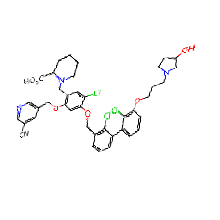 N#Cc1cncc(COc2cc(OCc3cccc(-c4cccc(OCCCN5CCC(O)C5)c4Cl)c3Cl)c(Cl)cc2CN2CCCCC2C(=O)O)c1